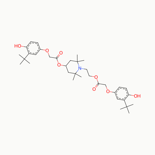 CC(C)(C)c1cc(OCC(=O)OCCN2C(C)(C)CC(OC(=O)COc3ccc(O)c(C(C)(C)C)c3)CC2(C)C)ccc1O